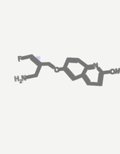 COc1ccc2cc(OC/C(=C/F)CN)ccc2n1